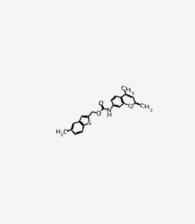 C=C1C=C(C)c2ccc(NC(=O)OCc3cc4cc(C)ccc4s3)cc2O1